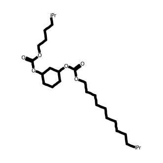 CC(C)CCCCCCCCCCOC(=O)OC1CCCC(OC(=O)OCCCCC(C)C)C1